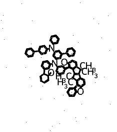 CC1(C)C2=C(c3c1ccc1oc4c(N(c5cc(-c6ccccc6)cc(N(c6ccccc6)c6ccc(-c7ccccc7)cc6)c5)c5cccc6c5OC5C=CC=CC65)cccc4c31)C(C)(C)c1c2ccc2oc3ccccc3c12